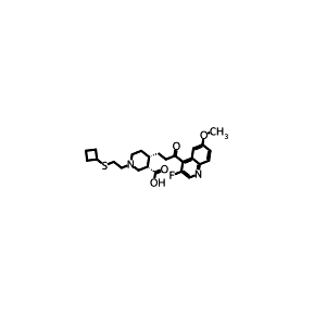 COc1ccc2ncc(F)c(C(=O)CC[C@H]3CCN(CCSC4CCC4)C[C@H]3C(=O)O)c2c1